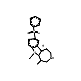 CC1CNCC[C@@H]2c3cc(S(=O)(=O)c4ccccc4)ccc3N(C)C12